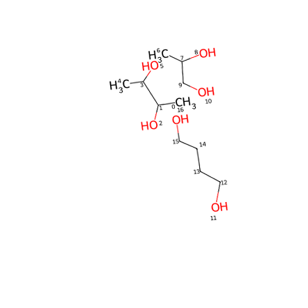 CC(O)C(C)O.CC(O)CO.OCCCCO